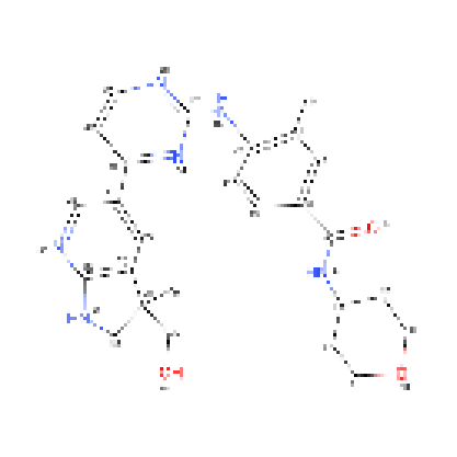 Cc1cc(C(=O)NC2CCOCC2)ccc1Nc1nccc(-c2cnc3c(c2)C(C)(CO)CN3)n1